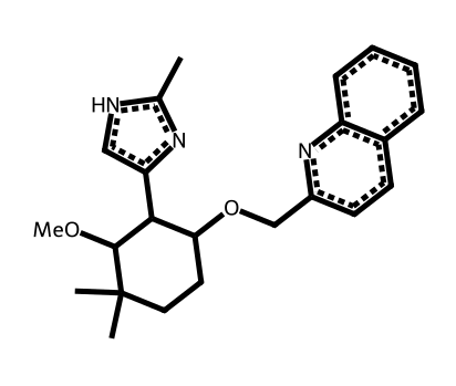 COC1C(c2c[nH]c(C)n2)C(OCc2ccc3ccccc3n2)CCC1(C)C